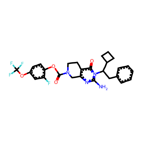 Nc1nc2c(c(=O)n1C(Cc1ccccc1)C1CCC1)CCN(C(=O)Oc1ccc(OC(F)(F)F)cc1F)C2